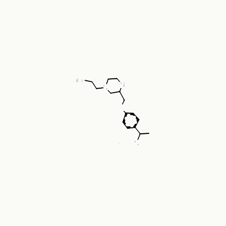 CC(C)CCN1CCNC(COc2ccc(C(C)N(C)O)cc2)C1